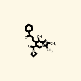 Cc1nc2c(O)c(CCC(=O)c3ccccc3)c(C(=O)N3CCC3)cn2c1C